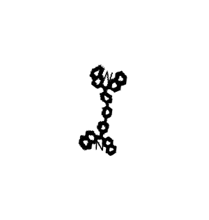 c1ccc2c(c1)ccc1c(-c3ccc(-c4ccc(-c5ccc(-c6c7ccc8ccccc8c7nc7c6ccc6ccccc67)cc5)cc4)cc3)c3ccc4ccccc4c3nc12